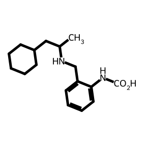 CC(CC1CCCCC1)NCc1ccccc1NC(=O)O